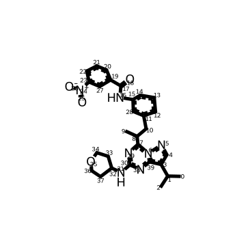 CC(C)c1cnn2c(C(C)Cc3cccc(NC(=O)c4cccc([N+](=O)[O-])c4)c3)nc(NC3CCOCC3)nc12